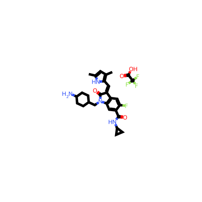 Cc1cc(C)c(/C=C2\C(=O)N(CC3CCC(N)CC3)c3cc(C(=O)NC4CC4)c(F)cc32)[nH]1.O=C(O)C(F)(F)F